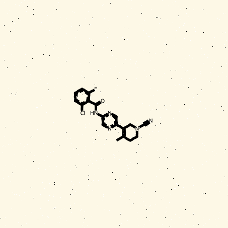 CC1=C(c2cnc(NC(=O)c3c(F)cccc3Cl)cn2)CN(C#N)CC1